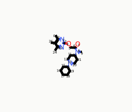 Cc1nc(OCC(=O)N(C)C2CCN(C3CCCCC3)CC2)nc(C)c1C